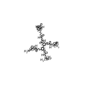 CCOC(C)(C)CCNC(=O)COc1cc(CCC(=O)NCCC(C)(C)OCN)cc(-c2cc(OCC(=O)NCCC(C)(C)OCC)cc(C(=O)NCCNC(=O)CCCC[C@@H]3SC[C@@H]4NC(=O)N[C@@H]43)c2)c1